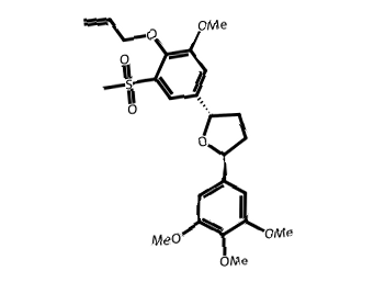 C=CCOc1c(OC)cc([C@@H]2CC[C@@H](c3cc(OC)c(OC)c(OC)c3)O2)cc1S(C)(=O)=O